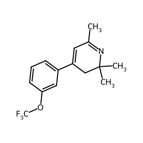 CC1=NC(C)(C)CC(c2cccc(OC(F)(F)F)c2)=C1